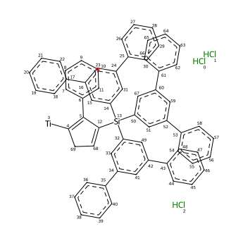 Cl.Cl.Cl.[Ti][C]1=C(c2ccccc2)C([Si](c2cc(-c3ccccc3)cc(-c3ccccc3)c2)(c2cc(-c3ccccc3)cc(-c3ccccc3)c2)c2cc(-c3ccccc3)cc(-c3ccccc3)c2)=CC1